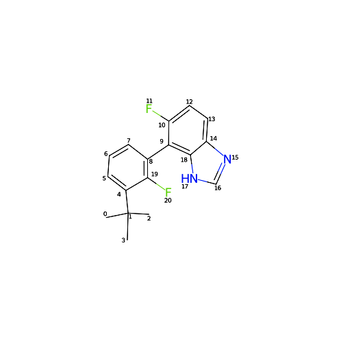 CC(C)(C)c1cccc(-c2c(F)ccc3nc[nH]c23)c1F